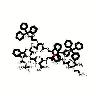 CSCC[C@H](NC(=O)CNC(=O)[C@H](Cc1cn(C(c2ccccc2)(c2ccccc2)c2ccccc2)cn1)NC(=O)CNC(=O)[C@@H](NC(=O)[C@H](C)NC(=O)[C@H](Cc1cn(C(=O)OC(C)(C)C)c2ccccc12)NC(=O)[C@H](CCC(=O)NC(c1ccccc1)(c1ccccc1)c1ccccc1)NC(=O)OCC1c2ccccc2-c2ccccc21)C(C)C)C(N)=O